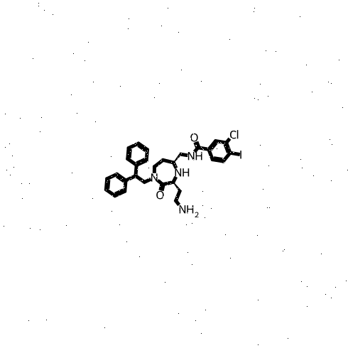 NCC[C@@H]1N[C@H](CNC(=O)c2ccc(I)c(Cl)c2)CCN(CC(c2ccccc2)c2ccccc2)C1=O